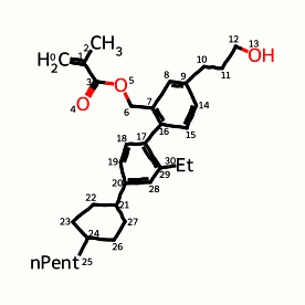 C=C(C)C(=O)OCc1cc(CCCO)ccc1-c1ccc(C2CCC(CCCCC)CC2)cc1CC